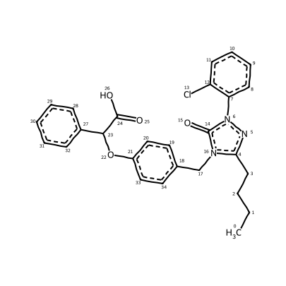 CCCCc1nn(-c2ccccc2Cl)c(=O)n1Cc1ccc(OC(C(=O)O)c2ccccc2)cc1